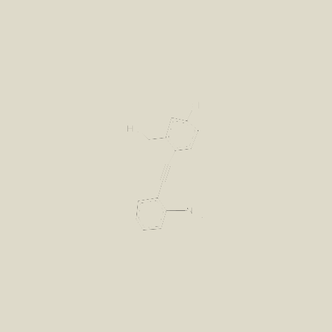 Nc1ccccc1C#Cc1ccc(Cl)cc1CO